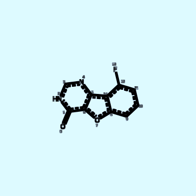 O=c1[nH]cnc2c1oc1cccc(F)c12